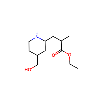 CCOC(=O)C(C)CC1CC(CO)CCN1